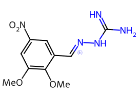 COc1cc([N+](=O)[O-])cc(/C=N/NC(=N)N)c1OC